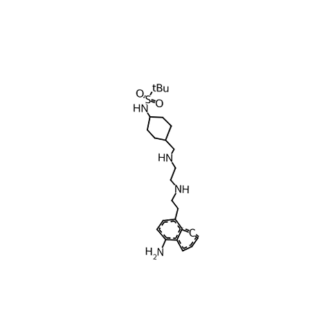 CC(C)(C)S(=O)(=O)NC1CCC(CNCCNCCc2ccc(N)c3ccccc23)CC1